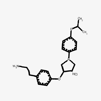 CC(C)Oc1ccc(N2CCC(Oc3ccc(CCN)cc3)C2)cc1.Cl